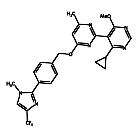 COc1ncnc(C2CC2)c1-c1nc(C)cc(OCc2ccc(-c3nc(C(F)(F)F)cn3C)cc2)n1